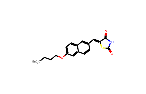 CCOC(=O)CCCOc1ccc2cc(/C=C3\SC(=O)NC3=O)ccc2c1